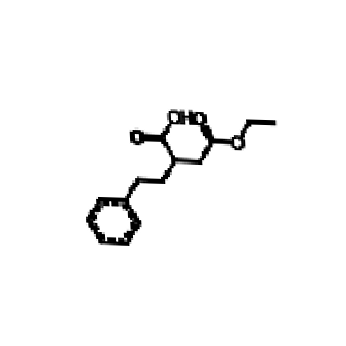 CCOC(=O)CC(CCc1ccccc1)C(=O)O